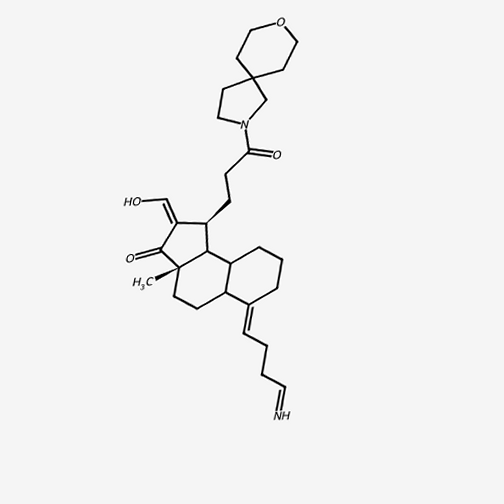 C[C@]12CCC3/C(=C/CCC=N)CCCC3C1[C@H](CCC(=O)N1CCC3(CCOCC3)C1)/C(=C/O)C2=O